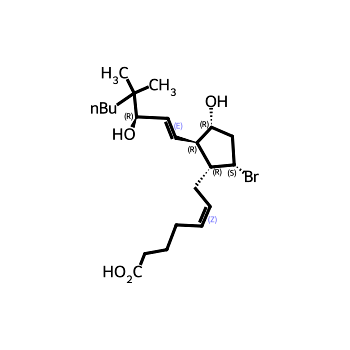 CCCCC(C)(C)[C@H](O)/C=C/[C@@H]1[C@@H](C/C=C\CCCC(=O)O)[C@@H](Br)C[C@H]1O